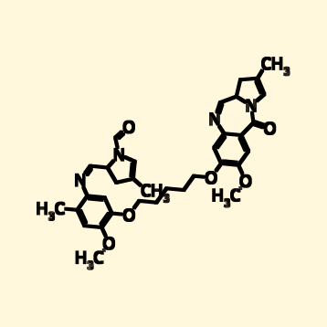 COc1cc2c(cc1OCCCCCOc1cc(/N=C\C3CC(C)=CN3C=O)c(C)cc1OC)N=CC1CC(C)=CN1C2=O